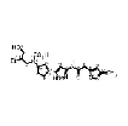 CCC(CO)CN(C(=O)O)[C@@H]1CC[C@H](c2cc(NC(=O)Cc3cc(C)no3)n[nH]2)C1